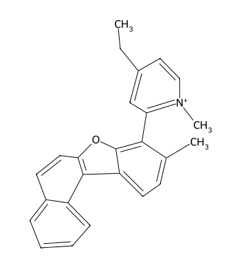 CCc1cc[n+](C)c(-c2c(C)ccc3c2oc2ccc4ccccc4c23)c1